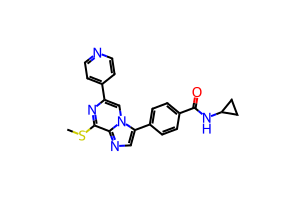 CSc1nc(-c2ccncc2)cn2c(-c3ccc(C(=O)NC4CC4)cc3)cnc12